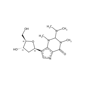 CN(C)C1N(C)C(=O)c2ncn([C@H]3C[C@H](O)[C@@H](CO)O3)c2N1C